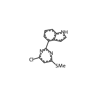 CSc1cc(Cl)nc(-c2cccc3[nH]ccc23)n1